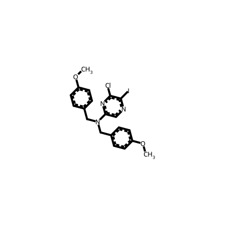 COc1ccc(CN(Cc2ccc(OC)cc2)c2cnc(I)c(Cl)n2)cc1